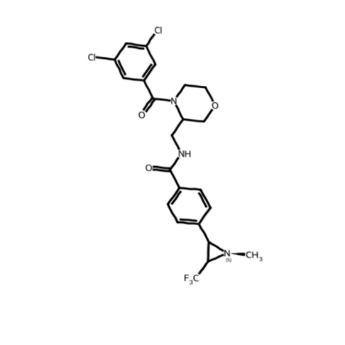 C[N@]1C(c2ccc(C(=O)NCC3COCCN3C(=O)c3cc(Cl)cc(Cl)c3)cc2)C1C(F)(F)F